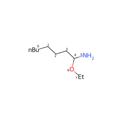 [CH2]CCCCCCC(N)OCC